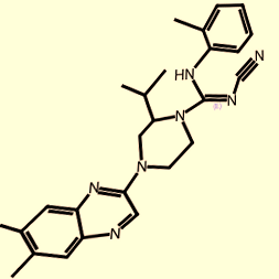 Cc1cc2ncc(N3CCN(/C(=N/C#N)Nc4ccccc4C)C(C(C)C)C3)nc2cc1C